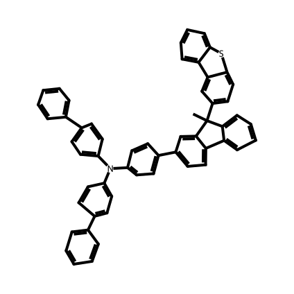 CC1(c2ccc3sc4ccccc4c3c2)c2ccccc2-c2ccc(-c3ccc(N(c4ccc(-c5ccccc5)cc4)c4ccc(-c5ccccc5)cc4)cc3)cc21